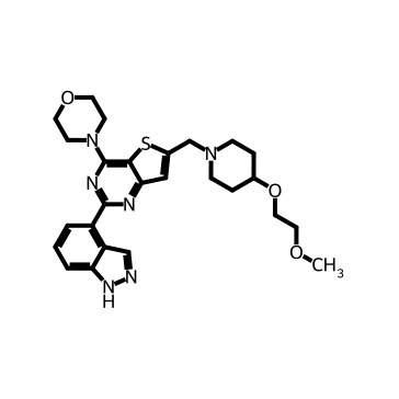 COCCOC1CCN(Cc2cc3nc(-c4cccc5[nH]ncc45)nc(N4CCOCC4)c3s2)CC1